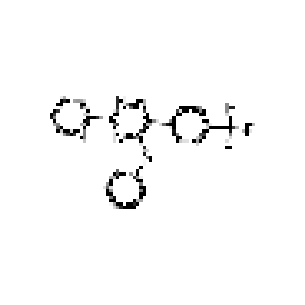 FC(F)(F)c1ccc(-c2nnc(-c3ccccn3)nc2Sc2ccccc2)cc1